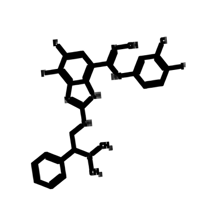 CN(C)C(CNc1nc2c(F)c(F)cc(/C(=N/O)Nc3ccc(F)c(Cl)c3)c2[nH]1)c1ccccc1